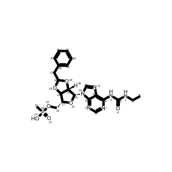 CCNC(=O)Nc1ncnc2c1ncn2[C@@H]1O[C@H](COP(C)(=O)O)C2OC(Cc3ccccc3)O[C@@H]21